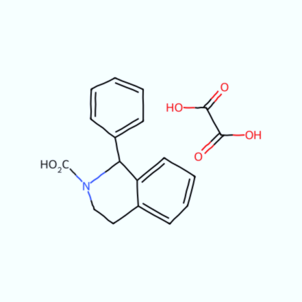 O=C(O)C(=O)O.O=C(O)N1CCc2ccccc2C1c1ccccc1